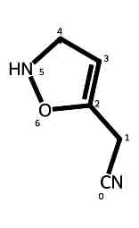 N#CCC1=C[CH]NO1